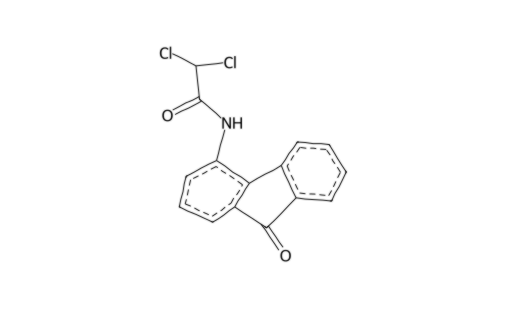 O=C1c2ccccc2-c2c(NC(=O)C(Cl)Cl)cccc21